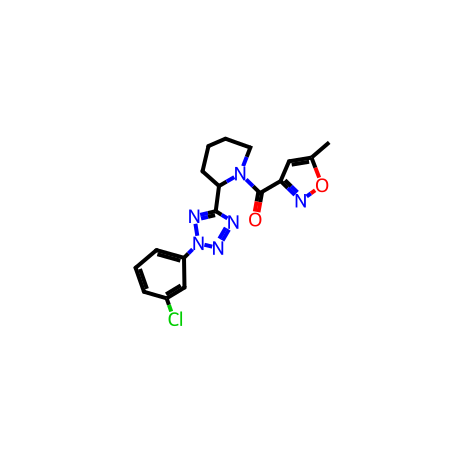 Cc1cc(C(=O)N2CCCCC2c2nnn(-c3cccc(Cl)c3)n2)no1